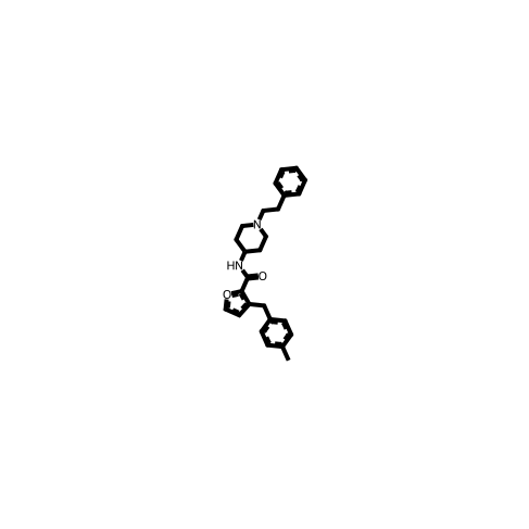 Cc1ccc(Cc2ccoc2C(=O)NC2CCN(CCc3ccccc3)CC2)cc1